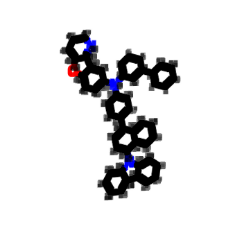 c1ccc(-c2cccc(N(c3ccc(-c4ccc(-n5c6ccccc6c6ccccc65)c5ccccc45)cc3)c3ccc4oc5cccnc5c4c3)c2)cc1